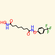 O=C(CCCCCCC(=O)NOc1ccc(C(F)(F)F)cc1)NO